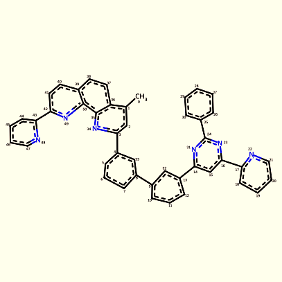 Cc1cc(-c2cccc(-c3cccc(-c4cc(-c5ccccn5)nc(-c5ccccc5)n4)c3)c2)nc2c1ccc1ccc(-c3ccccn3)nc12